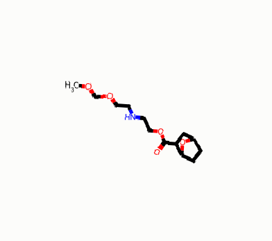 COCOCCNCCOC(=O)C1CC2CCC1O2